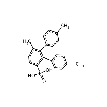 Cc1ccc(-c2c(C)ccc(P(=O)(O)O)c2-c2ccc(C)cc2)cc1